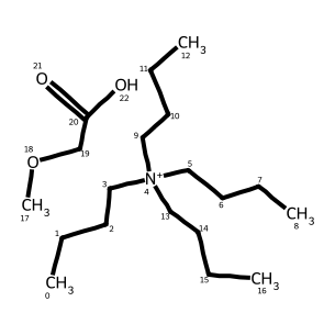 CCCC[N+](CCCC)(CCCC)CCCC.COCC(=O)O